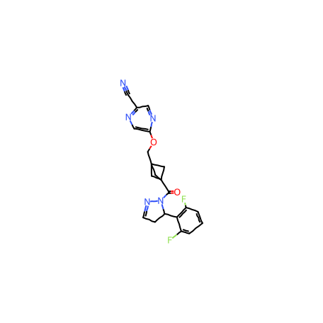 N#Cc1cnc(OCC23CC(C(=O)N4N=CCC4c4c(F)cccc4F)(C2)C3)cn1